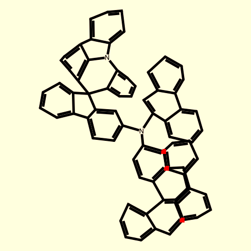 c1ccc(Cc2cc(N(c3ccc4c(c3)C3(c5ccccc5-4)c4ccccc4-n4c5ccccc5c5cccc3c54)c3cc4ccccc4c4ccccc34)ccc2-c2c(Cc3ccccc3)ccc3ccccc23)cc1